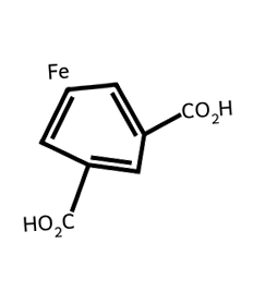 O=C(O)c1cccc(C(=O)O)c1.[Fe]